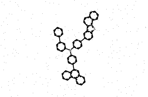 c1ccc(-c2cccc(N(c3ccc(-c4ccc5sc6c7ccccc7ccc6c5c4)cc3)c3ccc(-c4cc5ccccc5c5ccccc45)cc3)c2)cc1